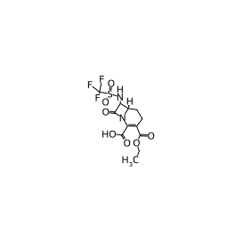 CCOC(=O)C1=C(C(=O)O)N2C(=O)C(NS(=O)(=O)C(F)(F)F)[C@@H]2CC1